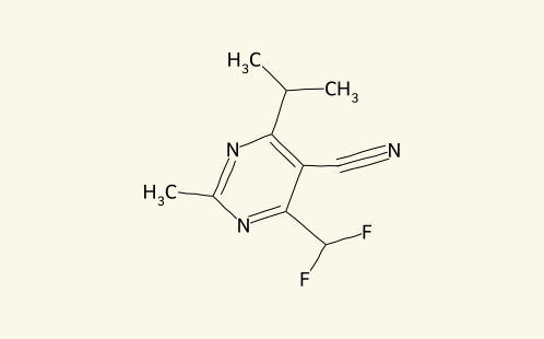 Cc1nc(C(C)C)c(C#N)c(C(F)F)n1